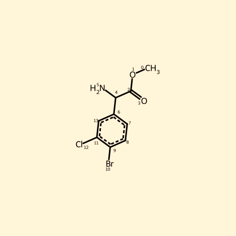 COC(=O)C(N)c1ccc(Br)c(Cl)c1